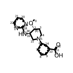 CO[C@@H]1CCN(c2cccc(C(=O)O)c2)C[C@H]1Nc1ncccn1